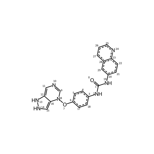 O=C(Nc1ccc(ON2C=NC=C3NNC=C32)cc1)Nc1ccc2ncccc2c1